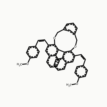 COc1ccc(/C=C\c2cc3ccccc3c3c2OCc2cccc(c2)COc2c(/C=C\c4ccc(OC)cc4)cc4ccccc4c2-3)cc1